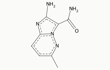 Cc1ccc2nc(N)c(C(N)=O)n2n1